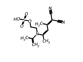 C=C(C)N(CCOS(=O)(=O)O)/C(C)=C\C(C)=C(C#N)C#N